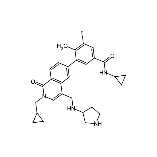 Cc1c(F)cc(C(=O)NC2CC2)cc1-c1ccc2c(=O)n(CC3CC3)cc(CNC3CCNC3)c2c1